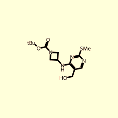 CSc1ncc(CO)c(NC2CN(C(=O)OC(C)(C)C)C2)n1